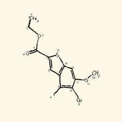 CCOC(=O)c1cc2c(I)c(O)c(OC)cc2s1